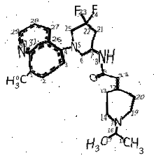 Cc1ccc(N2CC(NC(=O)CC3CCN(C(C)C)CC3)CC(F)(F)C2)c2cccnc12